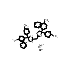 Cc1ccc(C2(c3ccc(C)cc3)OC(CC3=N[C@H](c4ccccc4)C(c4ccc(C)cc4)(c4ccc(C)cc4)O3)=N[C@@H]2c2ccccc2)cc1.[Br-].[Br-].[Ni+2]